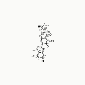 C[C@@H](NC(=O)c1cn2c(c(O)c1=O)C(=O)N1C(C2)O[C@H]2CC[C@@H]1C2)c1ccc(F)cc1F